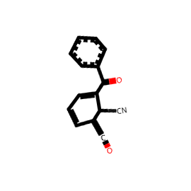 N#CC1C(=C=O)C=CC=C1C(=O)c1ccccc1